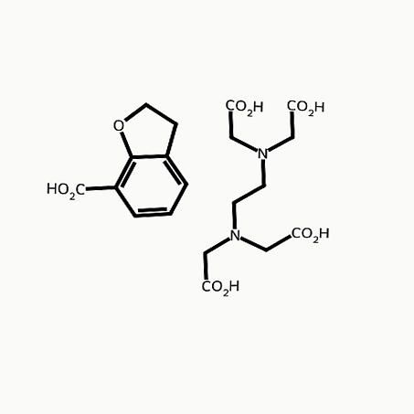 O=C(O)CN(CCN(CC(=O)O)CC(=O)O)CC(=O)O.O=C(O)c1cccc2c1OCC2